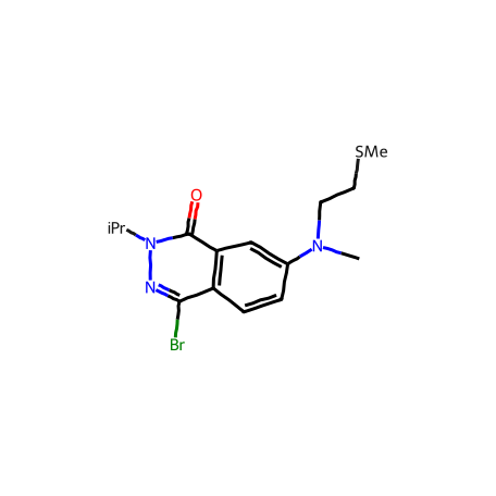 CSCCN(C)c1ccc2c(Br)nn(C(C)C)c(=O)c2c1